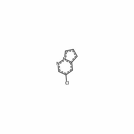 Clc1cnn2cccc2c1